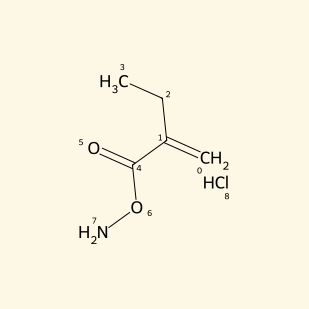 C=C(CC)C(=O)ON.Cl